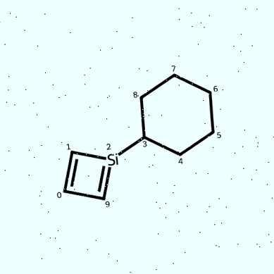 C1=C[Si](C2CCCCC2)=C1